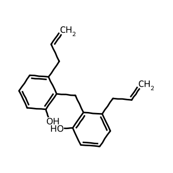 C=CCc1cccc(O)c1Cc1c(O)cccc1CC=C